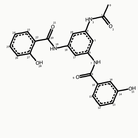 CC(=O)Nc1cc(NC(=O)c2cccc(O)c2)cc(NC(=O)c2ccccc2O)c1